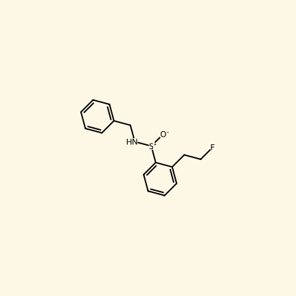 [O-][S+](NCc1ccccc1)c1ccccc1CCF